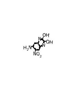 Nc1cc2nc(O)c(O)nc2cc1[N+](=O)[O-]